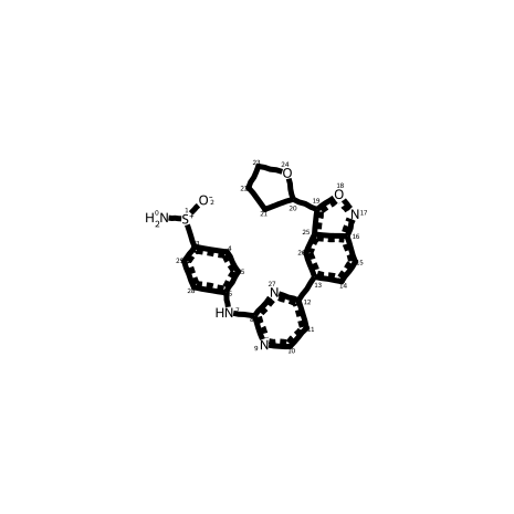 N[S+]([O-])c1ccc(Nc2nccc(-c3ccc4noc(C5CCCO5)c4c3)n2)cc1